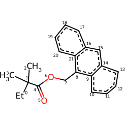 CCC(C)(C)C(=O)OCc1c2ccccc2cc2ccccc12